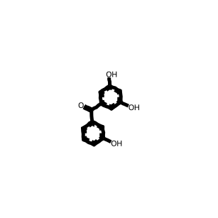 O=C(c1cccc(O)c1)c1cc(O)cc(O)c1